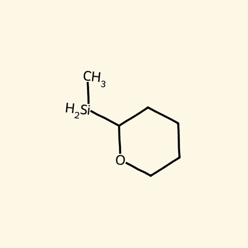 C[SiH2]C1CCCCO1